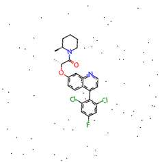 C[C@@H](Oc1ccc2c(-c3c(Cl)cc(F)cc3Cl)ccnc2c1)C(=O)N1CCCC[C@@H]1C